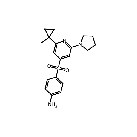 CC1(c2cc(S(=O)(=O)c3ccc(N)cc3)cc(N3CCCC3)n2)CC1